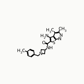 Cc1ccc(CN2CC(NC(=O)c3sc4nnc(C)c(C)c4c3N)C2)cc1